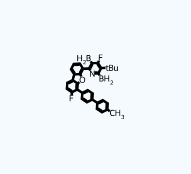 Bc1nc(-c2cccc3c2oc2c(-c4ccc(-c5ccc(C)cc5)cc4)c(F)ccc23)c(B)c(F)c1C(C)(C)C